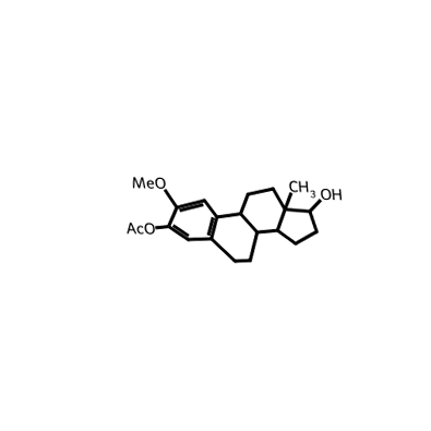 COc1cc2c(cc1OC(C)=O)CCC1C2CCC2(C)C(O)CCC12